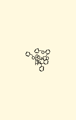 O=C(NC1N=C(c2ccccc2)c2ccccc2N(CC(=O)c2ccccc2OCc2ccccc2)C1=O)OCc1ccccc1